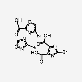 Brc1ncon1.O=C(O)c1nc(Br)co1.O=C(O)c1nc(Br)oc1C(=O)O